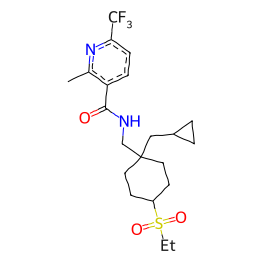 CCS(=O)(=O)C1CCC(CNC(=O)c2ccc(C(F)(F)F)nc2C)(CC2CC2)CC1